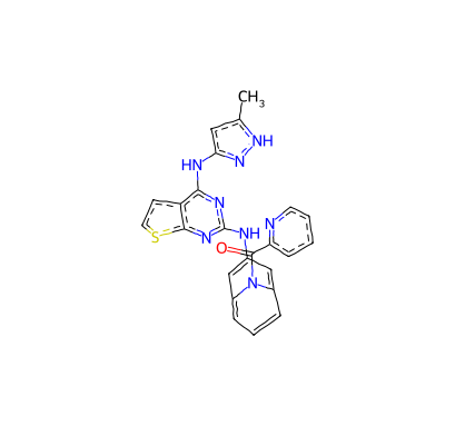 Cc1cc(Nc2nc(NC3=CC4=CC=CC(=C3)N4C(=O)c3ccccn3)nc3sccc23)n[nH]1